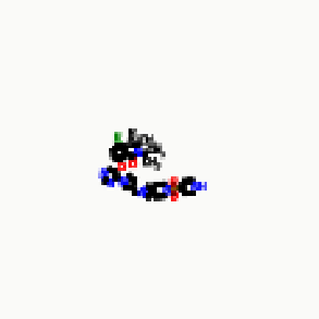 CC(C)N(C(=O)c1cc(F)ccc1Oc1cncnc1N1CCC(CN2CC3(CCN(S(=O)(=O)C4CCNCC4)CC3)C2)C1)C(C)C